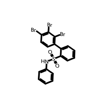 O=S(=O)(Nc1ccccc1)c1ccccc1-c1ccc(Br)c(Br)c1Br